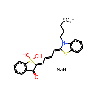 O=C1C(=CC=CC=C2Sc3ccccc3N2CCCS(=O)(=O)O)S(O)(O)c2ccccc21.[NaH]